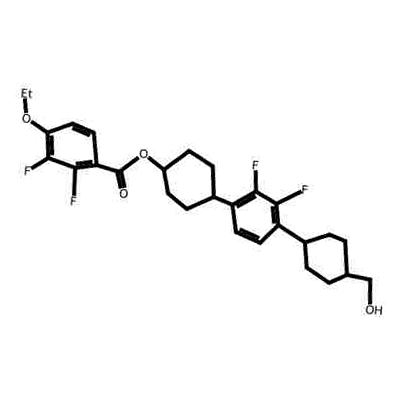 CCOc1ccc(C(=O)OC2CCC(c3ccc(C4CCC(CO)CC4)c(F)c3F)CC2)c(F)c1F